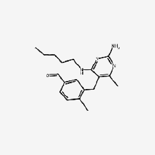 CCCCCNc1nc(N)nc(C)c1Cc1cc(C=O)ccc1C